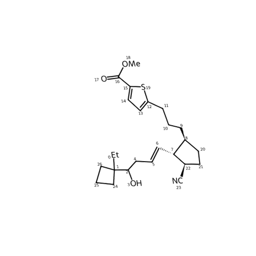 CCC1(C(O)C/C=C/[C@@H]2[C@@H](CCCc3ccc(C(=O)OC)s3)CC[C@H]2C#N)CCC1